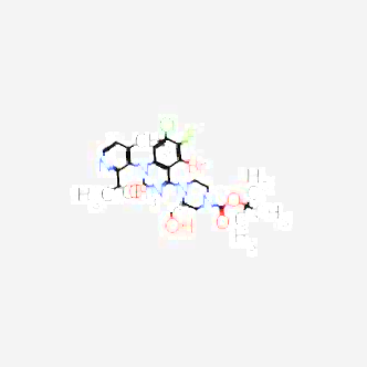 Cc1ccnc(C(C)C)c1-n1c(=O)nc(N2CCN(C(=O)OC(C)(C)C)C[C@@H]2CO)c2c(Br)c(F)c(Cl)cc21